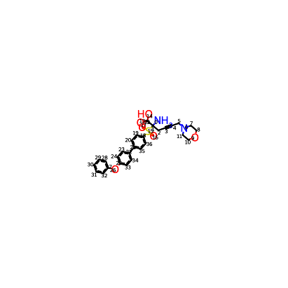 NC(CC#CCN1CCOCC1)(C(=O)O)S(=O)(=O)c1ccc(-c2ccc(Oc3ccccc3)cc2)cc1